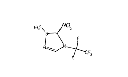 CN1N=CN(C(F)(F)C(F)(F)F)C1[N+](=O)[O-]